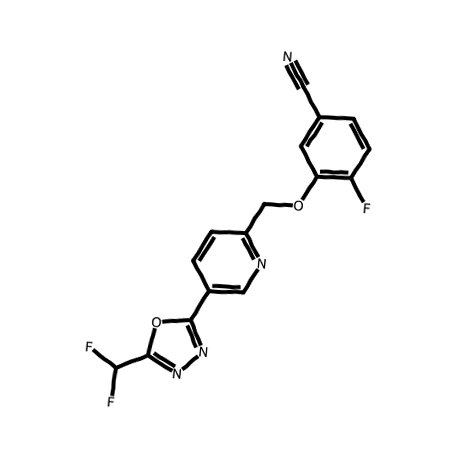 N#Cc1ccc(F)c(OCc2ccc(-c3nnc(C(F)F)o3)cn2)c1